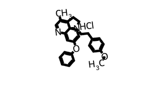 COc1ccc(CCN2CCC3=C(C)C=NC4=CC(Oc5ccccc5)=CCC432)cc1.Cl